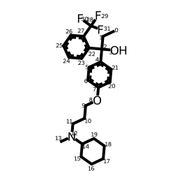 CCC(O)(c1ccc(OCCCN(C)C2CCCCC2)cc1)c1ccccc1C(F)(F)F